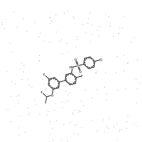 O=S(=O)(Nc1cc(-c2cc(F)cc(OC(F)F)c2)ccc1F)c1ccc(Cl)cc1